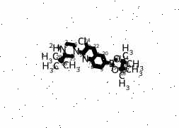 [2H]N1CCN(c2nc3ccc(B4OC(C)(C)C(C)(C)O4)cc3cc2Cl)CC1C(C)(C)C